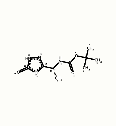 C[C@@H](NC(=O)OC(C)(C)C)c1n[nH]c(=O)o1